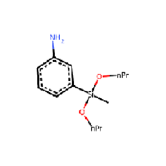 CCCO[Si](C)(OCCC)c1cccc(N)c1